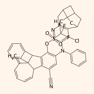 C=C1C=CC=CC2c3c(C#N)cc(N(c4ccccc4)c4cnc5c(c4Cl)C4CC6CC(C5)C6(C)C4)c(OS(=O)(=O)C(F)(F)F)c3C3c4ccccc4C123